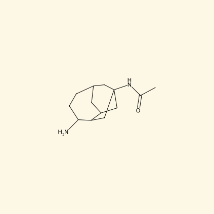 CC(=O)NC12CC3CCC(N)C(C1)C(C3)C2